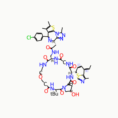 C=C(/C=C\C(=C/C)c1scnc1C)[C@@H]1NC(=O)[C@@H]2C[C@@H](O)CN2C(=O)C(C(C)(C)C)NC(=O)CCOCCNC(=O)[C@@H](CNC(=O)C[C@@H]2N=C(c3ccc(Cl)cc3)c3c(sc(C)c3C)-n3c(C)nnc32)NC(=O)CNC1=O